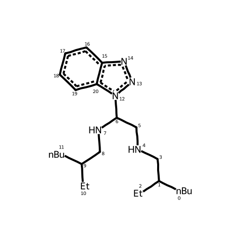 CCCCC(CC)CNCC(NCC(CC)CCCC)n1nnc2ccccc21